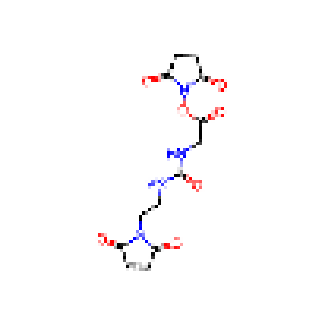 O=C(NCCN1C(=O)C=CC1=O)NCC(=O)ON1C(=O)CCC1=O